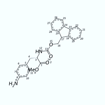 COC(=O)[C@H](Cc1ccc(N)cc1)NC(=O)OCC1c2ccccc2-c2ccccc21